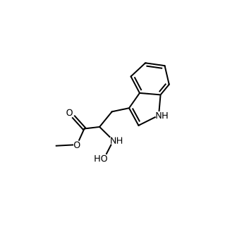 COC(=O)C(Cc1c[nH]c2ccccc12)NO